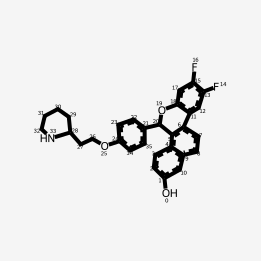 Oc1ccc2c3c(ccc2c1)-c1cc(F)c(F)cc1OC3c1ccc(OCCC2CCCCN2)cc1